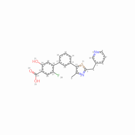 Cc1nc(Cc2cccnc2)sc1-c1cccc(-c2cc(O)c(C(=O)O)cc2F)c1